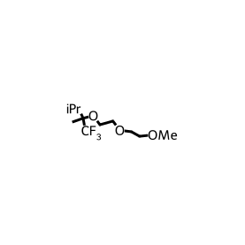 COCCOCCOC(C)(C(C)C)C(F)(F)F